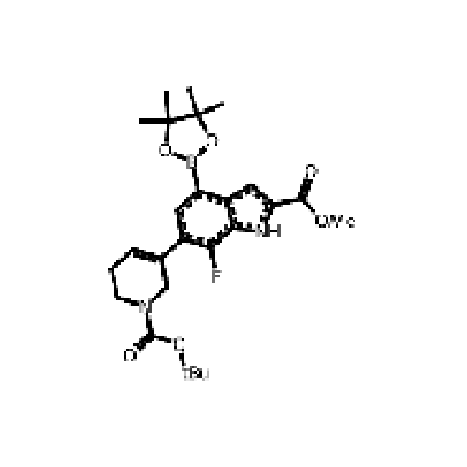 COC(=O)c1cc2c(B3OC(C)(C)C(C)(C)O3)cc(C3=CCCN(C(=O)OC(C)(C)C)C3)c(F)c2[nH]1